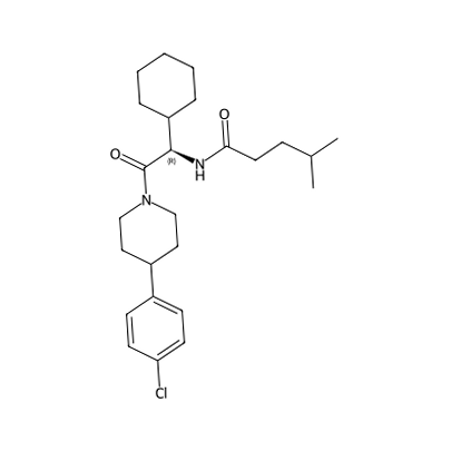 CC(C)CCC(=O)N[C@@H](C(=O)N1CCC(c2ccc(Cl)cc2)CC1)C1CCCCC1